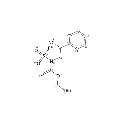 CC(C)(C)COC(=O)N(CC(C#N)c1ccccc1)S(=O)(=O)F